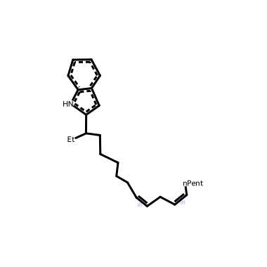 CCCCC/C=C\C/C=C\CCCCCC(CC)c1cc2ccccc2[nH]1